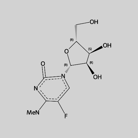 CNc1nc(=O)n([C@@H]2O[C@H](CO)[C@@H](O)[C@H]2O)cc1F